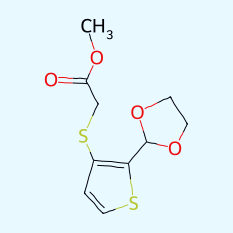 COC(=O)CSc1ccsc1C1OCCO1